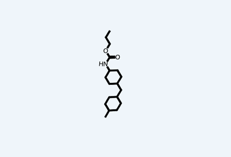 CCCOC(=O)NC1CCC(CC2CCC(C)CC2)CC1